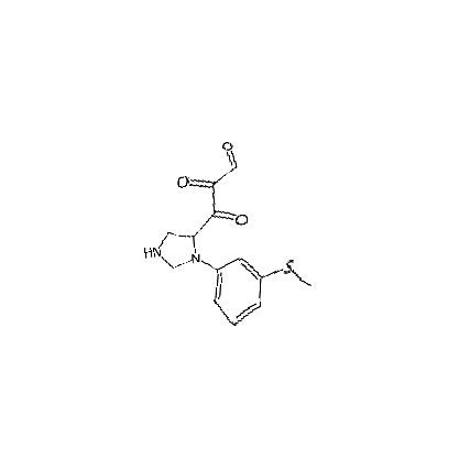 CSc1cccc(N2CNCC2C(=O)C(=O)C=O)c1